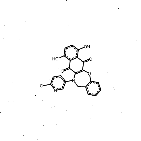 O=C1C2=C(C(=O)c3c(O)ccc(O)c31)N(c1ccc(Cl)nc1)Cc1ccccc1O2